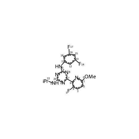 COc1ccc(F)c(-c2nc(Nc3cc(F)cc(F)c3)nc(NC(C)C)n2)n1